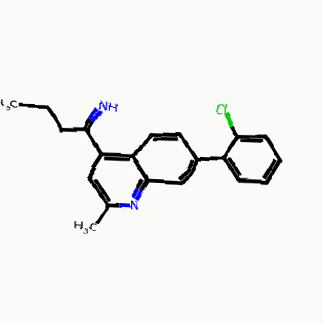 CCCC(=N)c1cc(C)nc2cc(-c3ccccc3Cl)ccc12